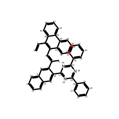 C=Cc1c(/C=C(\C)c2cc3ccccc3cc2-c2nc(-c3ccccc3)nc(-c3ccccc3)n2)c2ccccc2c2ccccc12